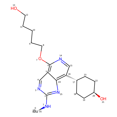 CC[C@H](C)Nc1ncc2c(OCCCCCO)ncc([C@H]3CC[C@H](O)CC3)c2n1